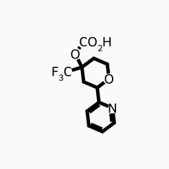 O=C(O)OC1(C(F)(F)F)CCOC(c2ccccn2)C1